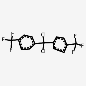 FC(F)(F)c1ccc(C(Cl)(Cl)c2ccc(C(F)(F)F)cc2)cc1